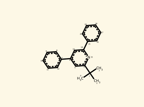 CC(C)(C)c1cc(-c2ccccc2)cc(-c2ccccc2)n1